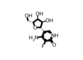 Nc1c([C@@H]2O[C@H](CO)[C@@H](O)[C@H]2O)c[nH]c(=O)c1F